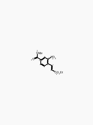 CCOC(=O)C=Cc1ccc(C(=O)OC)cc1[N+](=O)[O-]